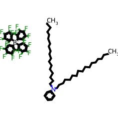 CCCCCCCCCCCCCCCCCCN(CCCCCCCCCCCCCCCCCC)c1ccccc1.Fc1c(F)c(F)c([B-](c2c(F)c(F)c(F)c(F)c2F)(c2c(F)c(F)c(F)c(F)c2F)c2c(F)c(F)c(F)c(F)c2F)c(F)c1F